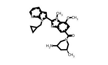 COc1cc(C(=O)N2CC(N)C[C@H](C)C2)cc2nc(-c3cc4cccnc4n3CC3CC3)n(C)c12